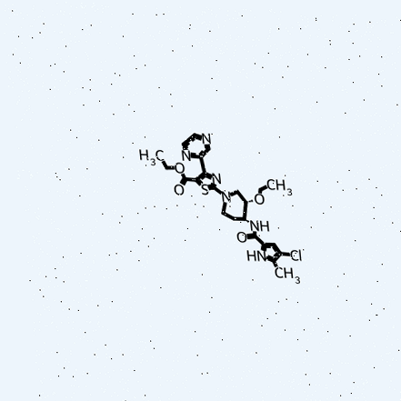 CCOC(=O)c1sc(N2CC[C@@H](NC(=O)c3cc(Cl)c(C)[nH]3)[C@@H](OCC)C2)nc1-c1cnccn1